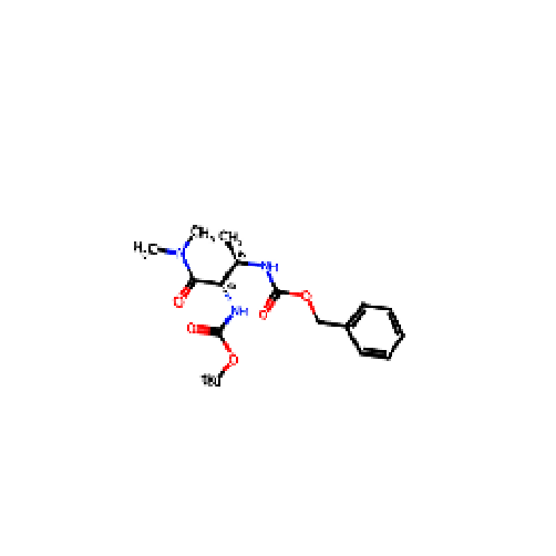 C[C@@H](NC(=O)OCc1ccccc1)[C@H](NC(=O)OC(C)(C)C)C(=O)N(C)C